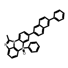 Cc1nc2cccc3c2n1-c1ccc(-c2ccc4cc(-c5ccccc5)ccc4c2)cc1P3(=O)c1ccccc1